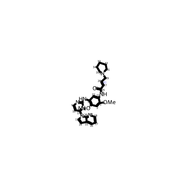 COc1cc(OC)c(Nc2nccc(-n3ccc4cccnc43)n2)cc1NC(=O)/C=C/CN1CCCCC1